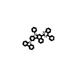 C1=CC(c2nc(-c3cc4c(c5ccccc35)c3cc(-n5c6ccccc6c6ccccc65)ccc3n4-c3ccccc3)nc3ccccc23)=CCC1